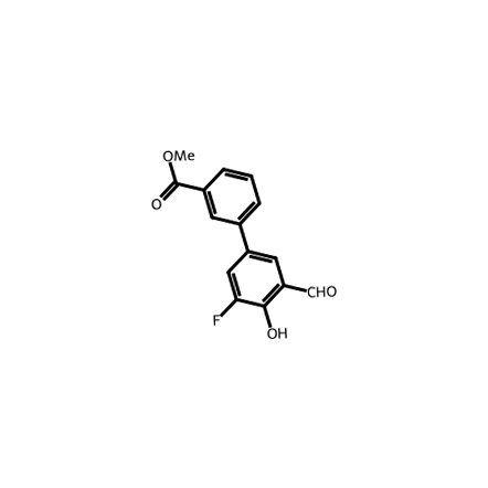 COC(=O)c1cccc(-c2cc(F)c(O)c(C=O)c2)c1